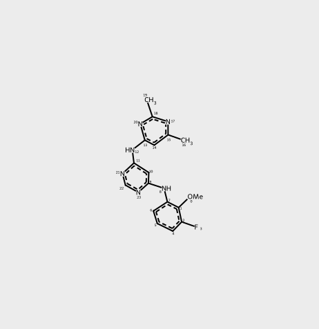 COc1c(F)cccc1Nc1cc(Nc2cc(C)nc(C)n2)ncn1